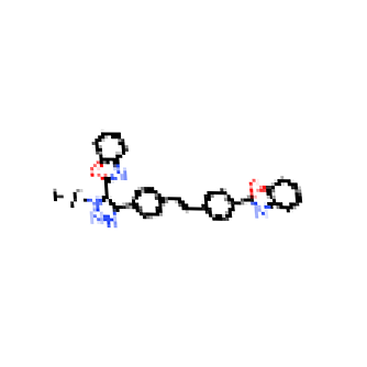 Cn1nnc(-c2ccc(/C=C/c3ccc(-c4nc5ccccc5o4)cc3)cc2)c1-c1nc2ccccc2o1